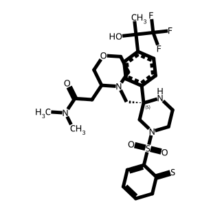 CN(C)C(=O)CC1COCCN1C[C@@]1(c2ccc(C(C)(O)C(F)(F)F)cc2)CN(S(=O)(=O)C2=CC=CCC2=S)CCN1